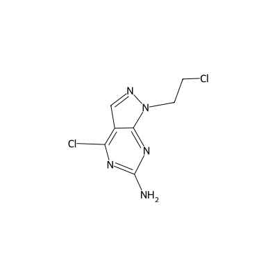 Nc1nc(Cl)c2cnn(CCCl)c2n1